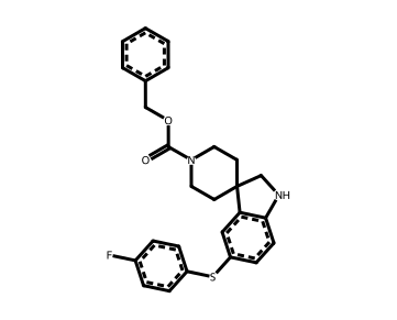 O=C(OCc1ccccc1)N1CCC2(CC1)CNc1ccc(Sc3ccc(F)cc3)cc12